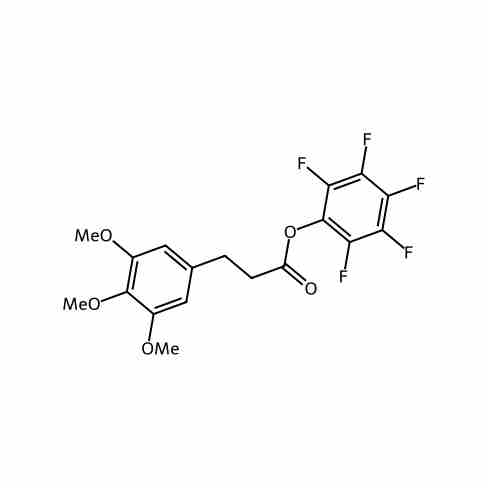 COc1cc(CCC(=O)Oc2c(F)c(F)c(F)c(F)c2F)cc(OC)c1OC